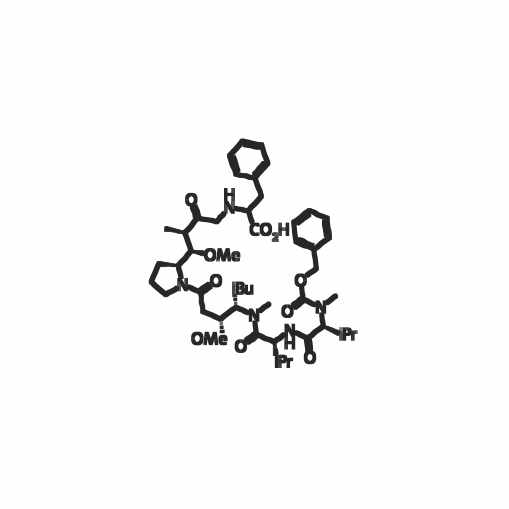 CCC(C)[C@@H]([C@@H](CC(=O)N1CCC[C@H]1[C@H](OC)[C@@H](C)C(=O)CNC(Cc1ccccc1)C(=O)O)OC)N(C)C(=O)[C@@H](NC(=O)[C@H](C(C)C)N(C)C(=O)OCc1ccccc1)C(C)C